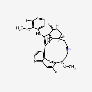 COc1c(F)cccc1Nc1c2[nH]c3c1C(=O)NC[C@@H]3C/C=C\C[C@H](OC)c1nc3c-2ccnc3cc1F